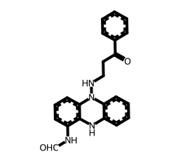 O=CNc1cccc2c1Nc1ccccc1N2NCCC(=O)c1ccccc1